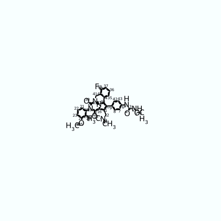 CONC(=O)Nc1ccc(-c2c(CN(C)C)c3c(=O)n(-c4cccc(OC)c4F)c(=O)n4n3c2-c2cccc(F)c2C4)cc1